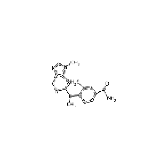 Cc1cc(C(N)=O)ccc1N(C)c1cc2c(cn1)ncn2C